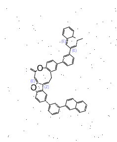 C=C1/C=c2/oc3ccc(-c4cccc(-c5ccc6ccccc6c5)c4)cc3/c2=C/Cc2cc(-c3cccc(C(=C/CC)/C=C4/C=CC=CC4C)c3)ccc2O1